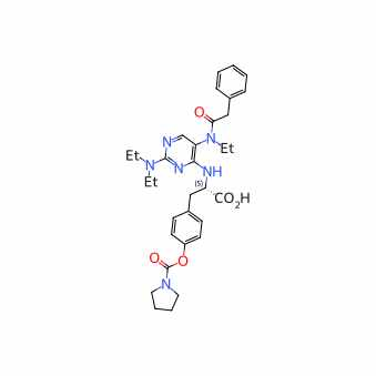 CCN(CC)c1ncc(N(CC)C(=O)Cc2ccccc2)c(N[C@@H](Cc2ccc(OC(=O)N3CCCC3)cc2)C(=O)O)n1